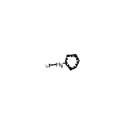 C[CH2][Hg][c]1ccccc1